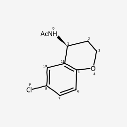 CC(=O)N[C@H]1CCOc2ccc(Cl)cc21